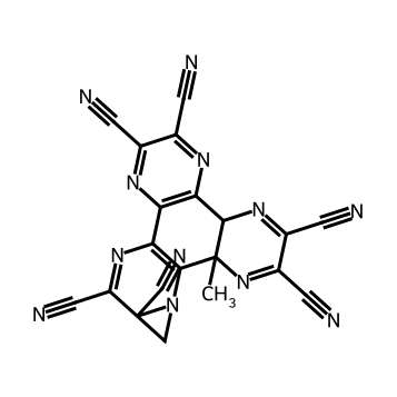 CC12N=C(C#N)C(C#N)=NC1c1nc(C#N)c(C#N)nc1C1=C2N2CC2(C#N)C(C#N)=N1